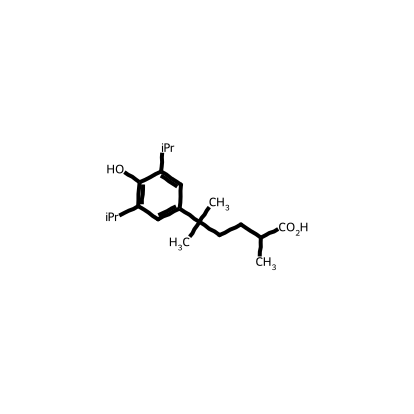 CC(CCC(C)(C)c1cc(C(C)C)c(O)c(C(C)C)c1)C(=O)O